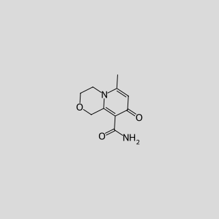 Cc1cc(=O)c(C(N)=O)c2n1CCOC2